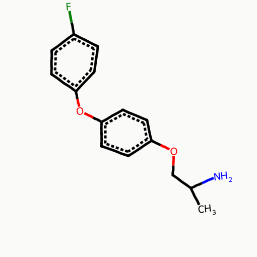 CC(N)COc1ccc(Oc2ccc(F)cc2)cc1